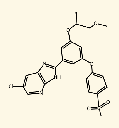 COC[C@H](C)Oc1cc(Oc2ccc(S(C)(=O)=O)cc2)cc(-c2nc3cc(Cl)cnc3[nH]2)c1